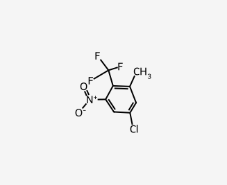 Cc1cc(Cl)cc([N+](=O)[O-])c1C(F)(F)F